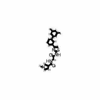 Cc1cc(C)cc(-c2cccc(-c3csc(NC(=O)CNC(=O)c4ccn(C)c4)n3)c2)c1